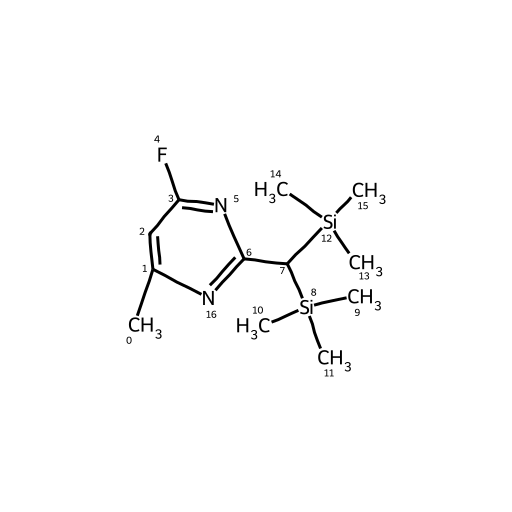 Cc1cc(F)nc(C([Si](C)(C)C)[Si](C)(C)C)n1